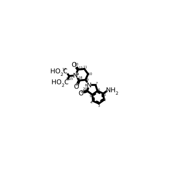 Nc1cccc2c1CN(C1CCC(=O)N(C(C(=O)O)C(=O)O)C1=O)C2=O